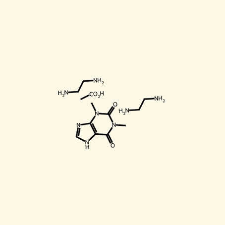 CC(=O)O.Cn1c(=O)c2[nH]cnc2n(C)c1=O.NCCN.NCCN